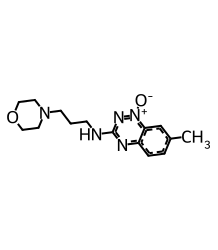 Cc1ccc2nc(NCCCN3CCOCC3)n[n+]([O-])c2c1